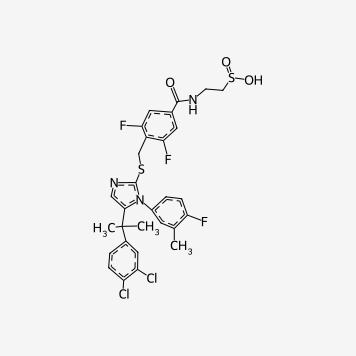 Cc1cc(-n2c(C(C)(C)c3ccc(Cl)c(Cl)c3)cnc2SCc2c(F)cc(C(=O)NCCS(=O)O)cc2F)ccc1F